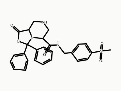 CS(=O)(=O)c1ccc(CNC(=O)C2CNCC3C(=O)OC(c4ccccc4)(c4ccccc4)N23)cc1